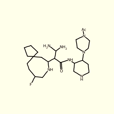 CC(=O)N1CCN(C2CCNCC2NC(=O)C(C(N)N)C2CC3(CCCC3)CCC(F)CN2)CC1